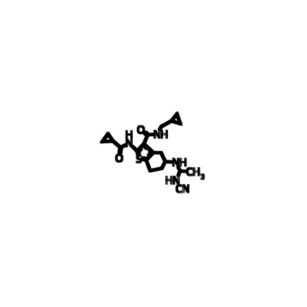 CC(NC#N)NC1CCc2sc(NC(=O)C3CC3)c(C(=O)NCC3CC3)c2C1